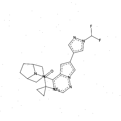 O=C(N1C2CCC1CN(c1ncnn3cc(-c4cnn(C(F)F)c4)cc13)C2)C1(C(F)(F)F)CC1